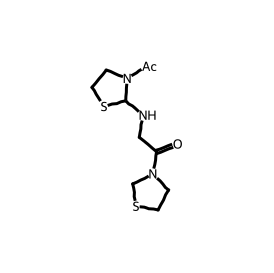 CC(=O)N1CCSC1NCC(=O)N1CCSC1